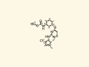 C=C(/N=C(/Nc1cn(C)nc1Cl)N(C)F)Oc1cccc(NC(=O)OC(C)(C)C)c1